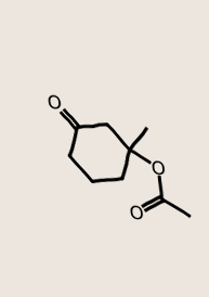 CC(=O)OC1(C)CCCC(=O)C1